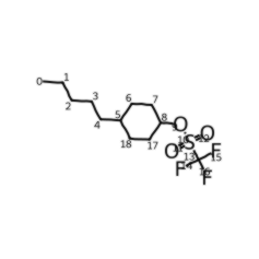 CCCCCC1CCC(OS(=O)(=O)C(F)(F)F)CC1